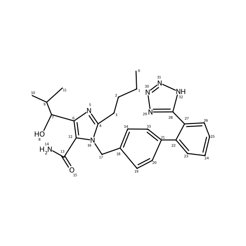 CCCCc1nc(C(O)C(C)C)c(C(N)=O)n1Cc1ccc(-c2ccccc2-c2nnn[nH]2)cc1